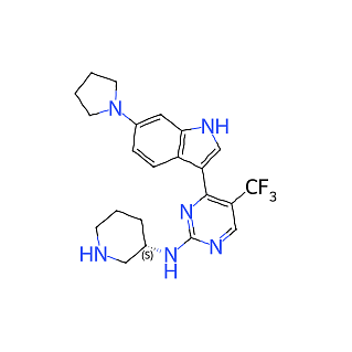 FC(F)(F)c1cnc(N[C@H]2CCCNC2)nc1-c1c[nH]c2cc(N3CCCC3)ccc12